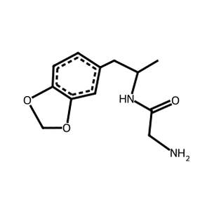 CC(Cc1ccc2c(c1)OCO2)NC(=O)CN